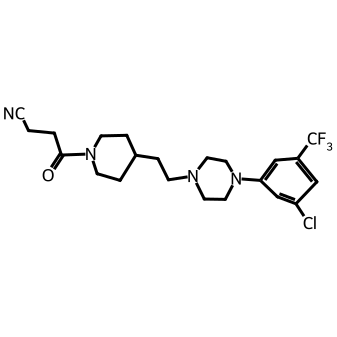 N#CCCC(=O)N1CCC(CCN2CCN(c3cc(Cl)cc(C(F)(F)F)c3)CC2)CC1